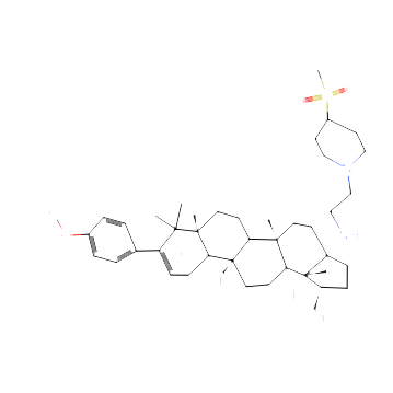 CC(C)[C@@H]1CC[C@]2(NCCN3CCC(S(C)(=O)=O)CC3)CC[C@]3(C)[C@H](CC[C@@H]4[C@@]5(C)CC=C(c6ccc(OC=O)cc6)C(C)(C)[C@@H]5CC[C@]43C)[C@@H]12